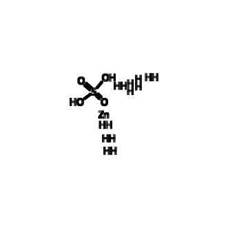 O=S(=O)(O)O.[HH].[HH].[HH].[HH].[HH].[HH].[HH].[Zn]